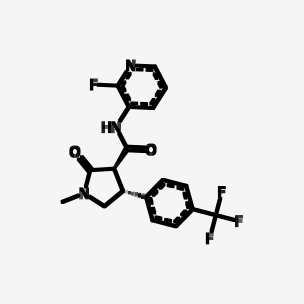 CN1C[C@@H](c2ccc(C(F)(F)F)cc2)[C@H](C(=O)Nc2cccnc2F)C1=O